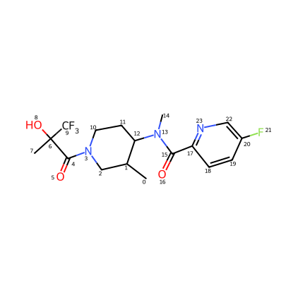 CC1CN(C(=O)C(C)(O)C(F)(F)F)CCC1N(C)C(=O)c1ccc(F)cn1